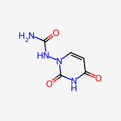 NC(=O)Nn1ccc(=O)[nH]c1=O